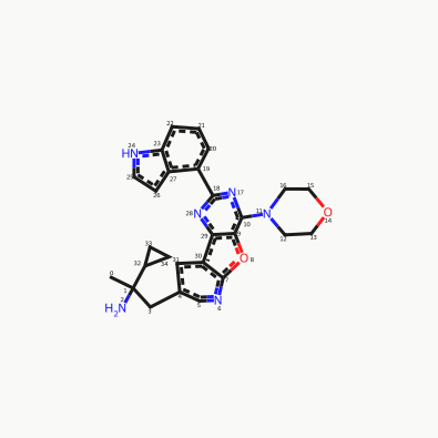 CC(N)(Cc1cnc2oc3c(N4CCOCC4)nc(-c4cccc5[nH]ccc45)nc3c2c1)C1CC1